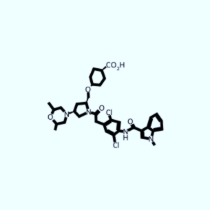 CC1CN([C@H]2C[C@@H](CO[C@H]3CC[C@H](C(=O)O)CC3)N(C(=O)Cc3cc(Cl)c(NC(=O)c4cn(C)c5ccccc45)cc3Cl)C2)CC(C)O1